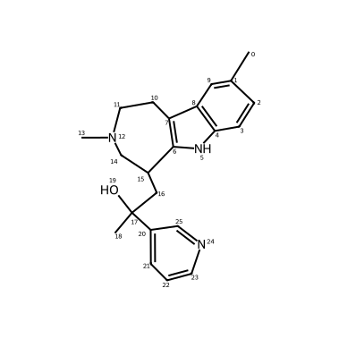 Cc1ccc2[nH]c3c(c2c1)CCN(C)CC3CC(C)(O)c1cccnc1